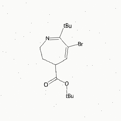 CC(C)(C)OC(=O)C1C=C(Br)C(C(C)(C)C)=NCC1